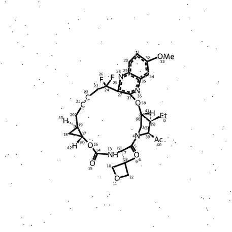 CC[C@@H]1[C@@H]2CN(C(=O)[C@H](C3(C)COC3)NC(=O)O[C@@H]3C[C@H]3CCCCC(F)(F)c3nc4ccc(OC)cc4nc3O2)[C@@H]1C(C)=O